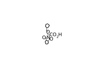 O=C(O)[C@H](COCc1ccccc1)N1C(=O)c2ccccc2C1=O